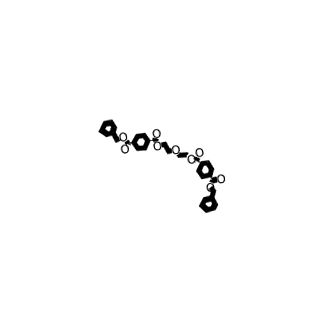 O=C(OCCOCCOC(=O)[C@H]1CC[C@@H](C(=O)OCc2ccccc2)CC1)[C@H]1CC[C@@H](C(=O)OCc2ccccc2)CC1